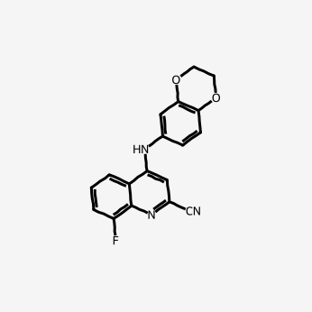 N#Cc1cc(Nc2ccc3c(c2)OCCO3)c2cccc(F)c2n1